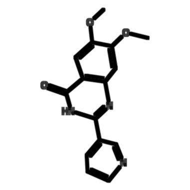 COc1cc2nc(-c3cccnc3)[nH]c(=O)c2cc1OC